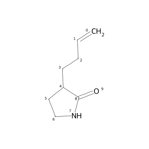 C=CCCC1CCNC1=O